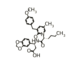 CCCC[C@H](C(=O)N[C@@H](CC(=O)O)c1ccc2c(c1)OCO2)n1cc(C)cc(Cc2ccc(OC)cc2)c1=O